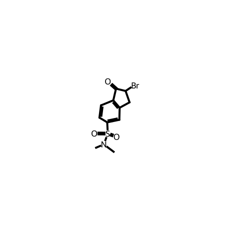 CN(C)S(=O)(=O)c1ccc2c(c1)CC(Br)C2=O